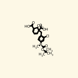 CC1C(C(=O)O)=CC=CC1(Cc1ccc(N(C)C(=O)OC(C)(C)C)cc1Cl)C(=O)O